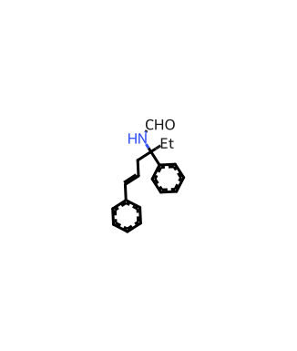 CCC(C/C=C/c1ccccc1)(NC=O)c1ccccc1